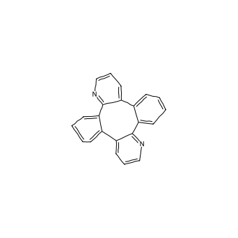 c1ccc2c(c1)-c1cccnc1-c1ccccc1-c1cccnc1-2